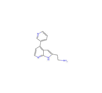 NCCc1cc2c(-c3cccnc3)ccnc2[nH]1